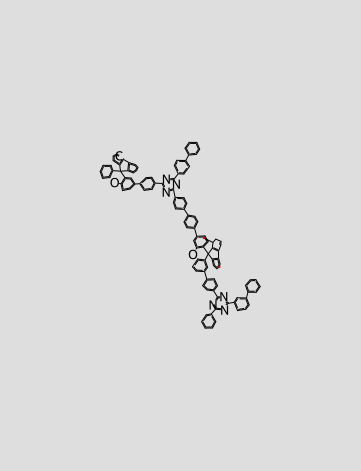 CC1CC=CC2=C1C1(c3ccc(-c4ccc(-c5ccc(-c6nc(-c7ccc(-c8ccccc8)cc7)nc(-c7ccc(-c8ccc9c(c8)C8(c%10ccccc%10O9)c9ccccc9-c9ccccc98)cc7)n6)cc5)cc4)cc3Oc3ccc(-c4ccc(-c5nc(-c6ccccc6)nc(-c6cccc(-c7ccccc7)c6)n5)cc4)cc31)c1ccccc12